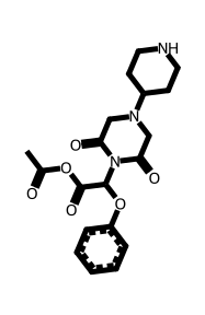 CC(=O)OC(=O)C(Oc1ccccc1)N1C(=O)CN(C2CCNCC2)CC1=O